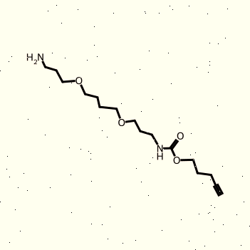 C#CCCCOC(=O)NCCCOCCCCOCCCN